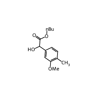 CCCCOC(=O)C(O)c1ccc(C)c(OC)c1